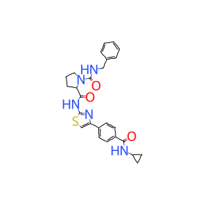 O=C(NC1CC1)c1ccc(-c2csc(NC(=O)C3CCCN3C(=O)NCc3ccccc3)n2)cc1